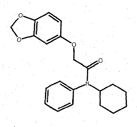 O=C(COc1ccc2c(c1)OCO2)N(c1ccccc1)C1CCCCC1